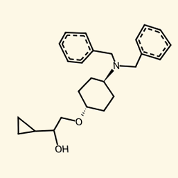 OC(CO[C@H]1CC[C@H](N(Cc2ccccc2)Cc2ccccc2)CC1)C1CC1